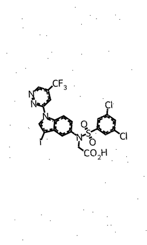 O=C(O)CN(c1ccc2c(c1)c(I)cn2-c1cc(C(F)(F)F)cnn1)S(=O)(=O)c1cc(Cl)cc(Cl)c1